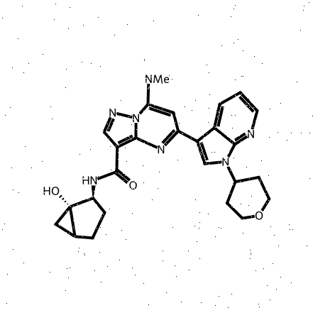 CNc1cc(-c2cn(C3CCOCC3)c3ncccc23)nc2c(C(=O)N[C@H]3CCC4C[C@]43O)cnn12